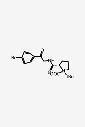 CC(C)(C)[N+]1(C(=O)[O-])CCC[C@H]1C(=O)NCC(=O)c1ccc(Br)cc1